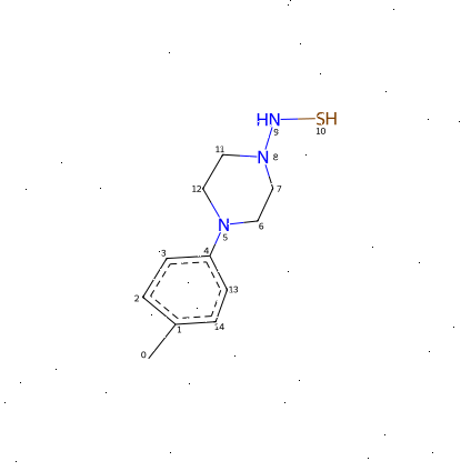 Cc1ccc(N2CCN(NS)CC2)cc1